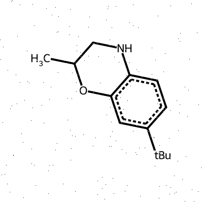 CC1CNc2ccc(C(C)(C)C)cc2O1